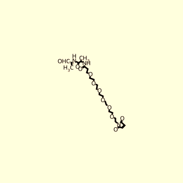 CC(NC(=O)CCOCCOCCOCCOCCOCCOCCN1C(=O)C=CC1=O)C(=O)N[C@H](C)C=O